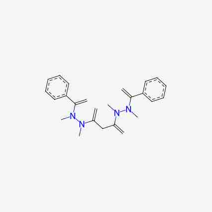 C=C(CC(=C)N(C)N(C)C(=C)c1ccccc1)N(C)N(C)C(=C)c1ccccc1